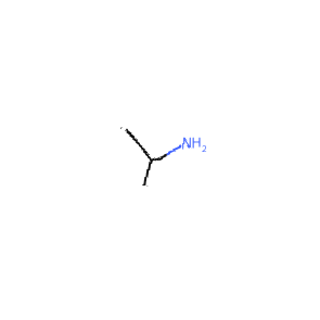 [CH2]C([CH2])N